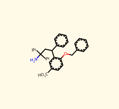 CC(C)C(N)(CC(c1ccccc1)c1cc(C(=O)O)ccc1OCc1ccccc1)C(C)C